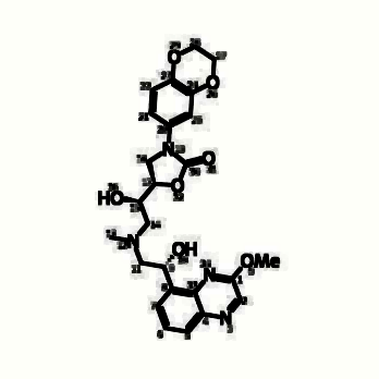 COc1cnc2cccc([C@@H](O)CN(C)C[C@@H](O)[C@H]3CN(c4ccc5c(c4)OCCO5)C(=O)O3)c2n1